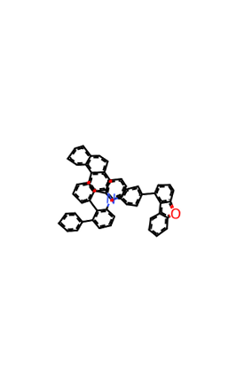 c1ccc(-c2ccccc2-c2c(-c3ccccc3)cccc2N(c2ccc(-c3cccc4oc5ccccc5c34)cc2)c2ccc3c(ccc4ccccc43)c2)cc1